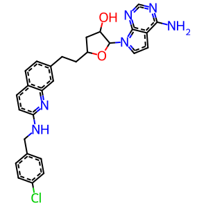 Nc1ncnc2c1ccn2C1OC(CCc2ccc3ccc(NCc4ccc(Cl)cc4)nc3c2)CC1O